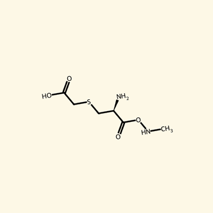 CNOC(=O)[C@H](N)CSCC(=O)O